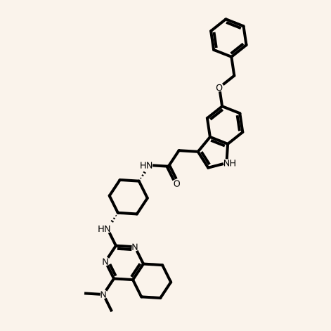 CN(C)c1nc(N[C@H]2CC[C@@H](NC(=O)Cc3c[nH]c4ccc(OCc5ccccc5)cc34)CC2)nc2c1CCCC2